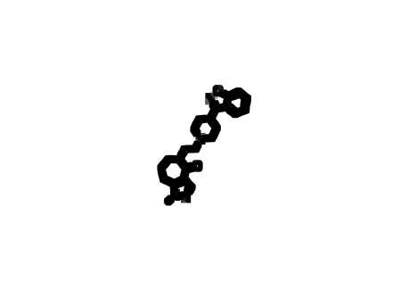 Cn1ncc2c1CCCC(CCN1CCC(c3noc4ccccc34)CC1)C2=O